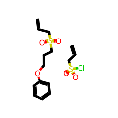 C=CCS(=O)(=O)CCCOc1ccccc1.C=CCS(=O)(=O)Cl